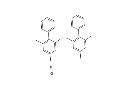 C=O.Cc1cc(C)c(-c2ccccc2)c(C)c1.Cc1cc(C)c(-c2ccccc2)c(C)c1